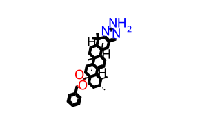 C[C@H]1[C@H](C)CC[C@]2(C(=O)OCc3ccccc3)CC[C@]3(C)C(=CC[C@@H]4[C@@]5(C)Cc6cnc(N)nc6C(C)(C)[C@@H]5CC[C@]43C)[C@H]12